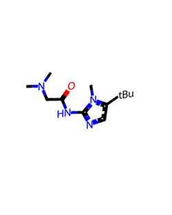 CN(C)CC(=O)Nc1ncc(C(C)(C)C)n1C